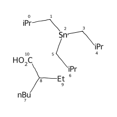 CC(C)[CH2][Sn]([CH2]C(C)C)[CH2]C(C)C.CCCCC(CC)C(=O)O